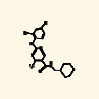 O=C(NCC1CCOCC1)c1cnc(Nc2ccc(Cl)cc2Br)nc1C(F)(F)F